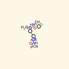 C[C@H](NC(=O)c1cn(C)c2ccc(-c3ccn4nc(NC(=O)C5(C#N)CC5)nc4c3)cc12)c1cccc(F)c1